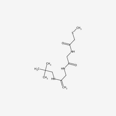 C=C(CNC(=O)CNC(=O)CSC)NCC(C)(C)C